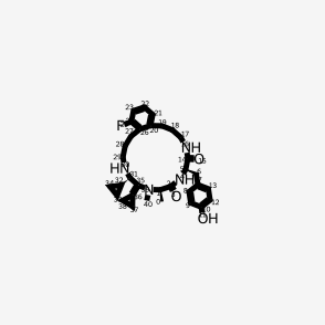 C[C@@H]1C(=O)N[C@H](Cc2ccc(O)cc2)C(=O)NCCCc2cccc(F)c2CCCN[C@@H](C2CC2)C(=C2CC2)N1C